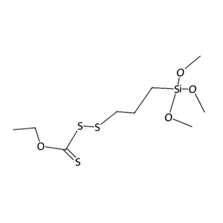 CCOC(=S)SSCCC[Si](OC)(OC)OC